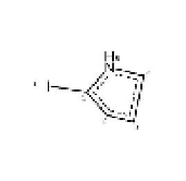 Ic1ccc[nH]1